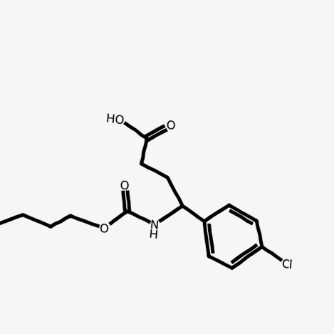 CCCCOC(=O)NC(CCC(=O)O)c1ccc(Cl)cc1